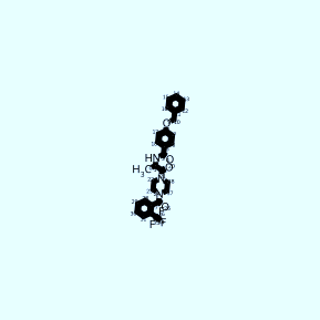 CC(NC(=O)c1ccc(OCc2ccccc2)cc1)C(=O)N1CCN(C(=O)c2ccccc2C(F)(F)F)CC1